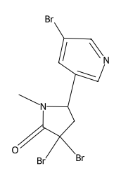 CN1C(=O)C(Br)(Br)CC1c1cncc(Br)c1